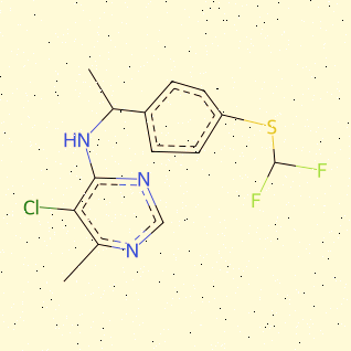 Cc1ncnc(NC(C)c2ccc(SC(F)F)cc2)c1Cl